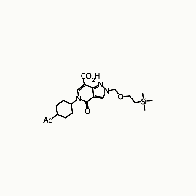 CC(=O)C1CCC(n2cc(C(=O)O)c3nn(COCC[Si](C)(C)C)cc3c2=O)CC1